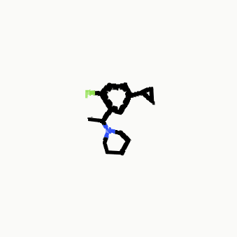 CC(c1cc(C2CC2)ccc1F)N1CCCCC1